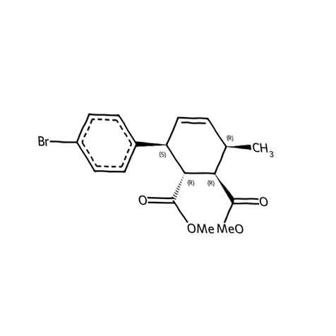 COC(=O)[C@H]1[C@H](C(=O)OC)[C@@H](c2ccc(Br)cc2)C=C[C@H]1C